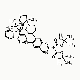 CC(C)(C)OC(=O)N(C(=O)OC(C)(C)C)c1ncc2cc(Cl)c(C3CCN(C4(C)COCC4O[Si](c4ccccc4)(c4ccccc4)C(C)(C)C)CC3)cc2n1